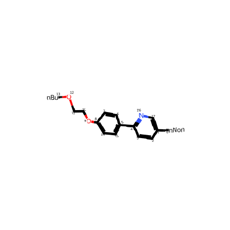 CCCCCCCCCc1ccc(-c2ccc(OCCOCCCC)cc2)nc1